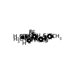 CN1CCC(N(C)C(=O)c2ccc(Nc3ncc(C(F)(F)F)c(N[C@@H]4CCC[C@@H]4C(=O)NC(C)(C)C)n3)cc2)CC1